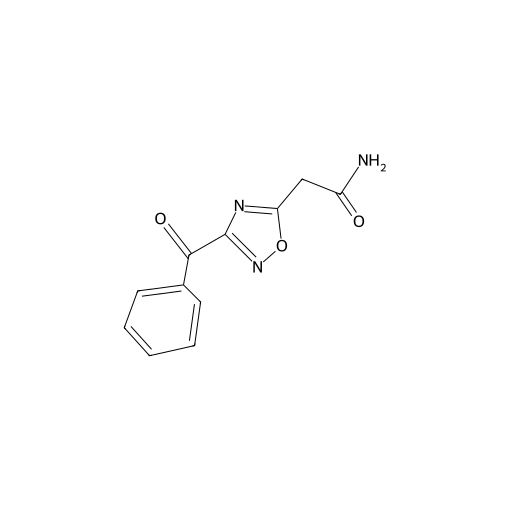 NC(=O)Cc1nc(C(=O)c2ccccc2)no1